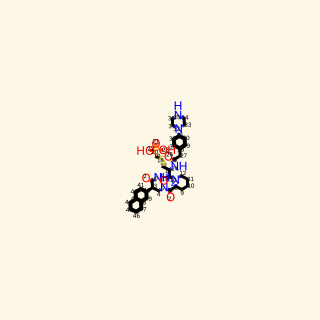 NC(=O)C(CNC(=O)C1CCCCN1C(=O)C(CSCP(=O)(O)O)NC(=O)Cc1ccc(N2CCNCC2)cc1)c1ccc2ccccc2c1